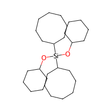 C1CCCC([Si](OC2CCCCC2)(OC2CCCCC2)C2CCCCCCC2)CCC1